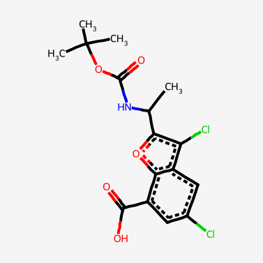 CC(NC(=O)OC(C)(C)C)c1oc2c(C(=O)O)cc(Cl)cc2c1Cl